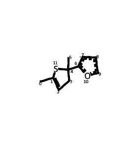 CC1=CCC(C)(c2[c]cco2)S1